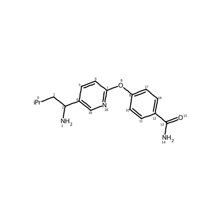 CC(C)CC(N)c1ccc(Oc2ccc(C(N)=O)cc2)nc1